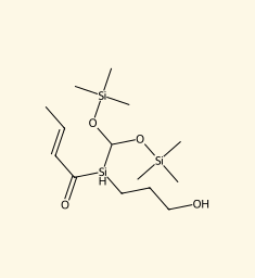 CC=CC(=O)[SiH](CCCO)C(O[Si](C)(C)C)O[Si](C)(C)C